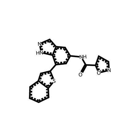 O=C(Nc1cc(-c2cc3ccccc3s2)c2[nH]ncc2c1)c1ccno1